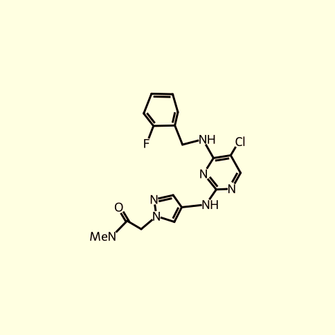 CNC(=O)Cn1cc(Nc2ncc(Cl)c(NCc3ccccc3F)n2)cn1